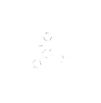 Cn1nc(-c2ccc(F)cc2)c2scc(-c3ccncc3)c2c1=O.O=C(O)C(F)(F)F